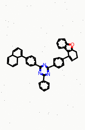 C1=CC2C=CC=C(c3ccc(-c4nc(-c5ccccc5)nc(-c5ccc(C6=CCCc7oc8ccccc8c76)cc5)n4)cc3)C2C=C1